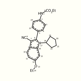 CCOC(=O)Nc1ccc(-c2c(C#N)c3ccc(OCC)cc3n2C2CCCC2)cc1